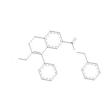 CCC1=C(c2ccccc2)c2cc(C(=O)OCc3ccccc3)ccc2CC1